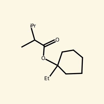 CCC1(OC(=O)C(C)C(C)C)CCCCC1